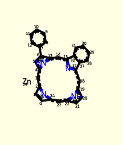 C1=Cc2cc3cc(-c4ccccc4)c(cc4nc(cc5ccc(cc1n2)[nH]5)-c1ccccc1-4)[nH]3.[Zn]